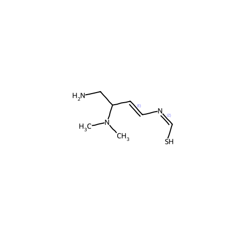 CN(C)C(/C=C/N=C\S)CN